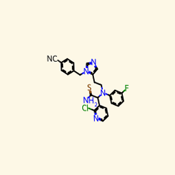 N#Cc1ccc(Cn2cncc2CCN(c2cccc(F)c2)C(C(N)=S)c2cccnc2Cl)cc1